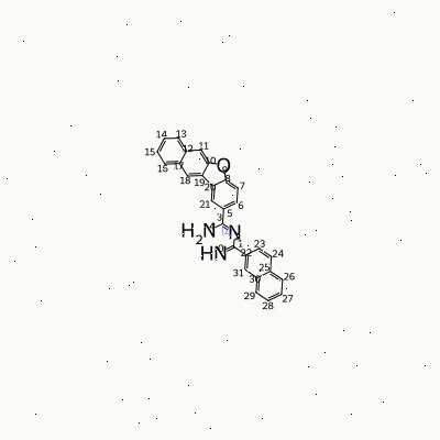 N=C(/N=C(\N)c1ccc2oc3cc4ccccc4cc3c2c1)c1ccc2ccccc2c1